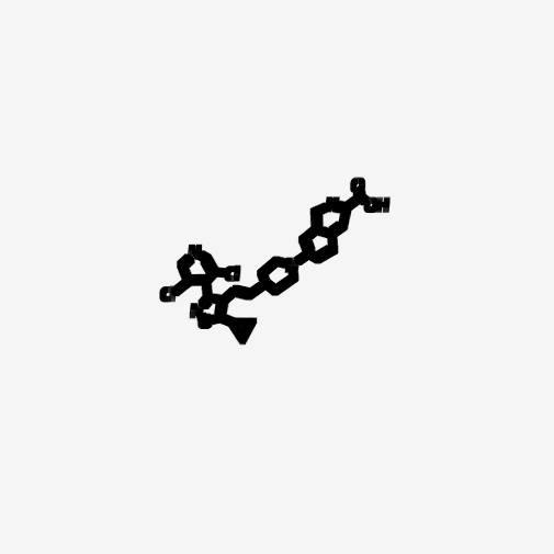 O=C(O)c1cc2ccc(N3CCC(C=Cc4c(-c5c(Cl)cncc5Cl)noc4C4CC4)CC3)cc2cn1